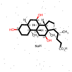 C[C@H](CCC(=O)O)[C@H]1CC[C@H]2[C@@H]3[C@H](O)C[C@@H]4C[C@H](O)CC[C@]4(C)[C@H]3C[C@H](O)[C@]12C.[NaH]